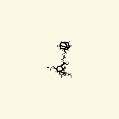 CC1CC(C(=O)OCOCC23CC4CC(CC(C4)C2)C3)C(F)(F)C(F)(C(C)(F)F)C1